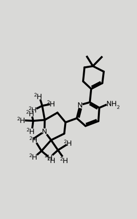 [2H]C([2H])([2H])C1(C([2H])([2H])[2H])CC(c2ccc(N)c(C3=CCC(C)(C)CC3)n2)CC(C([2H])([2H])[2H])(C([2H])([2H])[2H])N1C